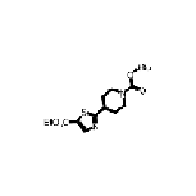 CCOC(=O)c1cnc(C2CCN(C(=O)OC(C)(C)C)CC2)s1